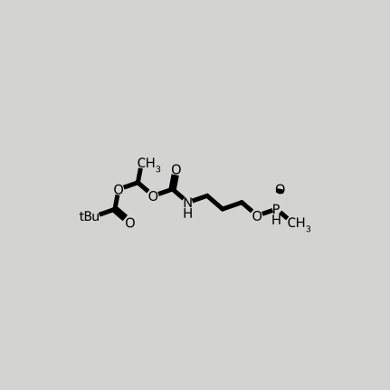 CC(OC(=O)NCCCO[PH](C)=O)OC(=O)C(C)(C)C